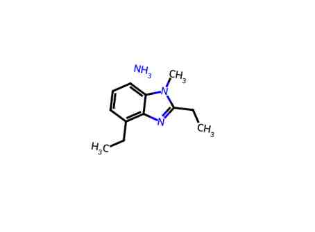 CCc1cccc2c1nc(CC)n2C.N